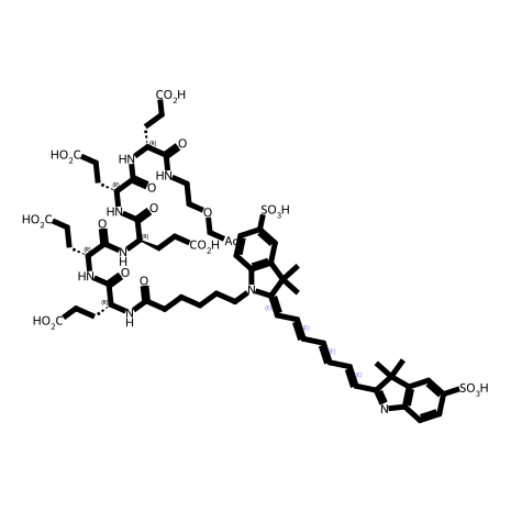 CC(=O)COCCNC(=O)[C@@H](CCC(=O)O)NC(=O)[C@@H](CCC(=O)O)NC(=O)[C@@H](CCC(=O)O)NC(=O)[C@@H](CCC(=O)O)NC(=O)[C@@H](CCC(=O)O)NC(=O)CCCCCN1/C(=C/C=C/C=C/C=C/C2=Nc3ccc(S(=O)(=O)O)cc3C2(C)C)C(C)(C)c2cc(S(=O)(=O)O)ccc21